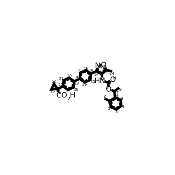 Cc1ccccc1C(C)OC(=O)Nc1c(-c2ccc(-c3ccc(C4(C(=O)O)CC4)cc3)cc2)noc1C